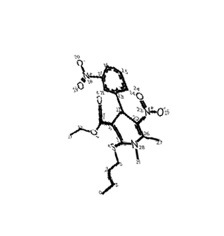 CCCCSC1=C(C(=O)OCC)C(c2cccc([N+](=O)[O-])c2)C([N+](=O)[O-])=C(C)N1C